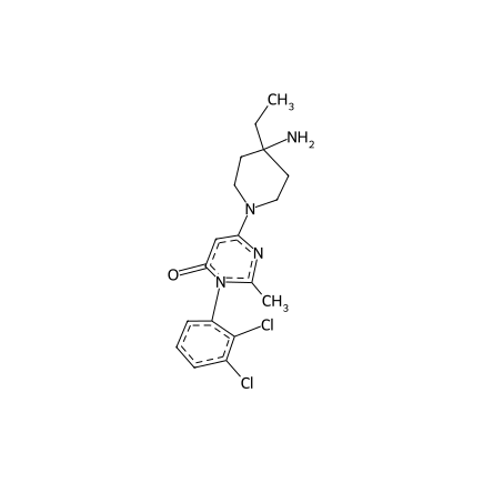 CCC1(N)CCN(c2cc(=O)n(-c3cccc(Cl)c3Cl)c(C)n2)CC1